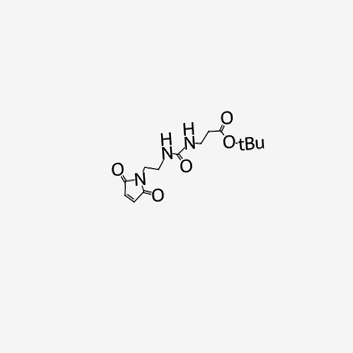 CC(C)(C)OC(=O)CCNC(=O)NCCN1C(=O)C=CC1=O